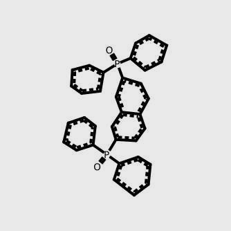 O=P(c1ccccc1)(c1ccccc1)c1ccc2ccc(P(=O)(c3ccccc3)c3ccccc3)cc2c1